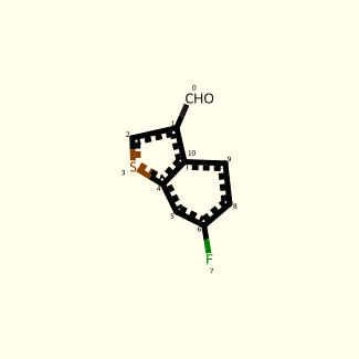 O=Cc1csc2cc(F)ccc12